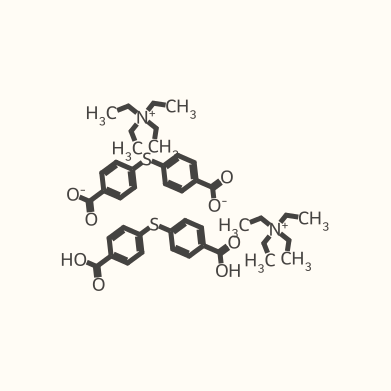 CC[N+](CC)(CC)CC.CC[N+](CC)(CC)CC.O=C(O)c1ccc(Sc2ccc(C(=O)O)cc2)cc1.O=C([O-])c1ccc(Sc2ccc(C(=O)[O-])cc2)cc1